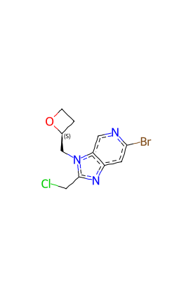 ClCc1nc2cc(Br)ncc2n1C[C@@H]1CCO1